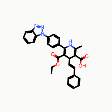 CCOC(=O)C1=C(c2ccc(-n3nnc4ccccc43)cc2)NC(C)=C(C(=O)O)C1/C=C/c1ccccc1